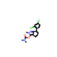 CN(C)C(=O)Oc1c2cccc(-c3ccc(Cl)cc3Cl)c2nn1C